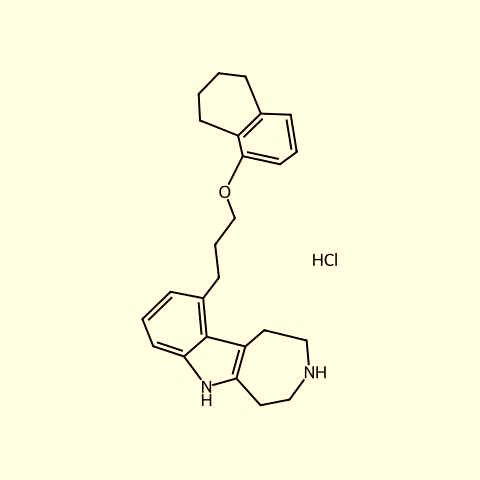 Cl.c1cc2c(c(OCCCc3cccc4[nH]c5c(c34)CCNCC5)c1)CCCC2